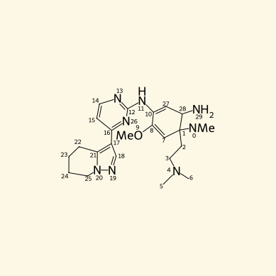 CNC1(CCN(C)C)C=C(OC)C(Nc2nccc(-c3cnn4c3CCCC4)n2)=CC1N